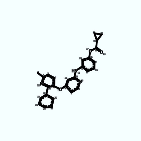 Cc1ccc(Oc2ccnc(Nc3cccc(OC(=O)C4CC4)c3)c2)c(-c2ccccc2)n1